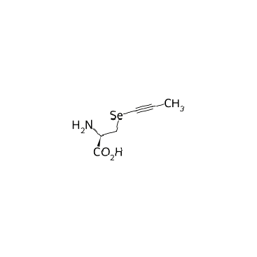 CC#C[Se]C[C@H](N)C(=O)O